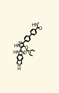 CCN(CC)C(=O)Oc1c(-c2ccc(-c3ccc(C(=O)NC)cc3)cc2)n[nH]c1-c1nc2cc3c(cc2[nH]1)CNC3